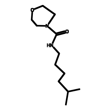 CC(C)CCCCNC(=O)N1CCOCC1